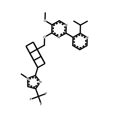 COc1cnc(-c2cccnc2C(C)C)nc1OCC12C3C4C1C1C2C3C41c1nc(C(F)(F)F)cn1C